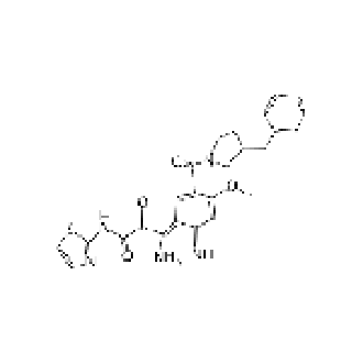 COC1=CC(=N)/C(=C(\N)C(=O)C(=O)Nc2nccs2)C=C1C(=O)N1CCC(Cc2ccccc2)C1